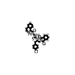 O=C(NNC(=S)NC(Cc1ccc(Cl)cc1)CN1C(=O)c2ccccc2C1=O)c1nccc2c[c]ccc12